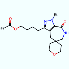 CCn1nc(CCCCOC(=O)C(C)C)c2c1C(=O)NCC1(CCOCC1)C2